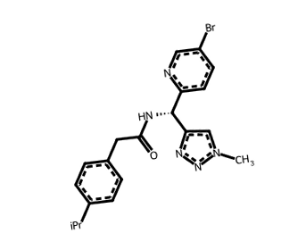 CC(C)c1ccc(CC(=O)N[C@H](c2ccc(Br)cn2)c2cn(C)nn2)cc1